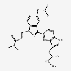 CN(C)C(=O)CCn1nc(-c2cnc3[nH]cc(OC(=O)NC(C)(C)C)c3n2)c2cc(OC(F)F)ccc21